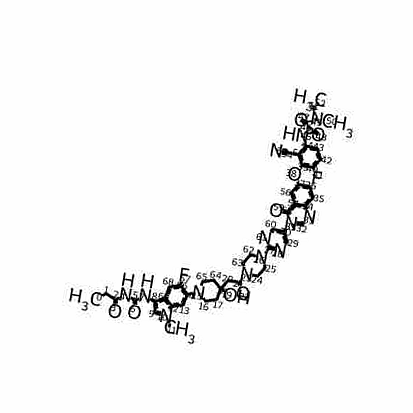 CCC(=O)NC(=O)Nc1cn(C)c2cc(N3CCC(O)(CC(=O)N4CCN(c5ncc(-n6cnc7ccc(Oc8c(F)ccc(NS(=O)(=O)N(C)CC)c8C#N)cc7c6=O)cn5)CC4)CC3)c(F)cc12